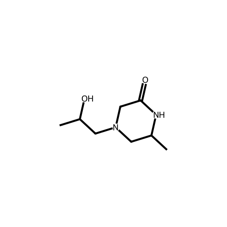 CC(O)CN1CC(=O)NC(C)C1